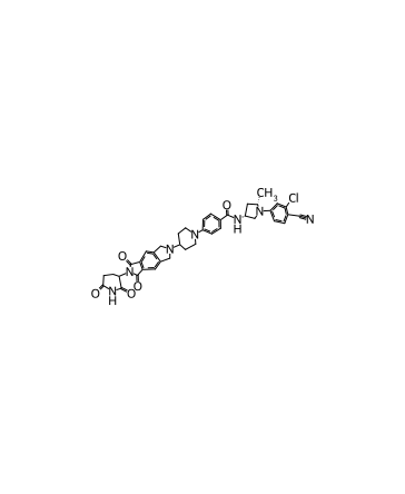 C[C@H]1C[C@@H](NC(=O)c2ccc(N3CCC(N4Cc5cc6c(cc5C4)C(=O)N(C4CCC(=O)NC4=O)C6=O)CC3)cc2)CN1c1ccc(C#N)c(Cl)c1